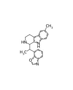 Cc1ccc2[nH]c3c(c2c1)CCNC3C(C)c1cccc2ncoc12